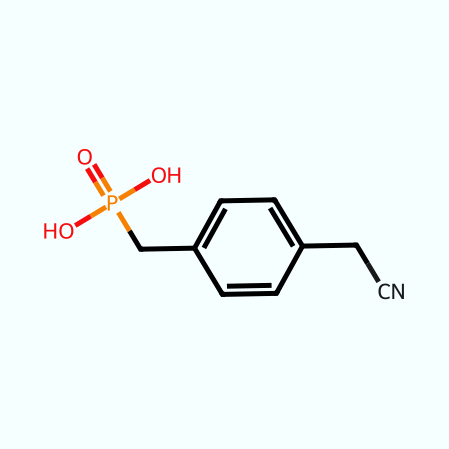 N#CCc1ccc(CP(=O)(O)O)cc1